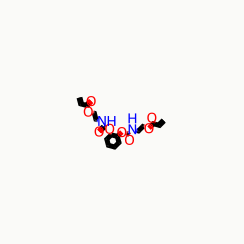 C=CC(=O)OCCNC(=O)OC1CCCCC1OC(=O)NCCOC(=O)C=C